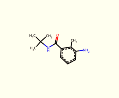 Cc1c(N)cccc1C(=O)NC(C)(C)C